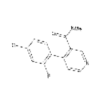 CNC(=O)c1cnccc1-c1ccc(Cl)cc1F